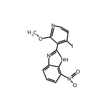 COc1nccc(I)c1-c1nc2cccc([N+](=O)[O-])c2[nH]1